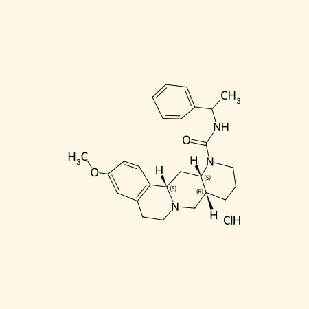 COc1ccc2c(c1)CCN1C[C@H]3CCCN(C(=O)NC(C)c4ccccc4)[C@H]3C[C@@H]21.Cl